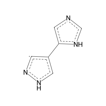 [c]1n[nH]cc1-c1cnc[nH]1